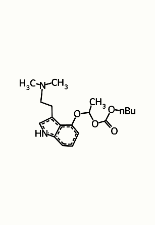 CCCCOC(=O)OC(C)Oc1cccc2[nH]cc(CCN(C)C)c12